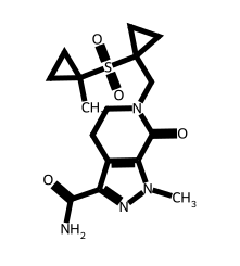 Cn1nc(C(N)=O)c2c1C(=O)N(CC1(S(=O)(=O)C3(C)CC3)CC1)CC2